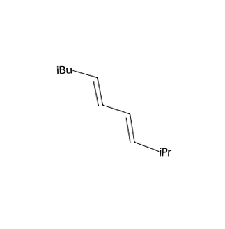 CCC(C)C=CC=CC(C)C